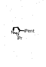 CCCC(C)c1ccnn1C(C)C